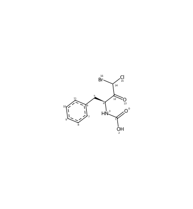 O=C(O)N[C@@H](Cc1ccccc1)C(=O)C(Cl)Br